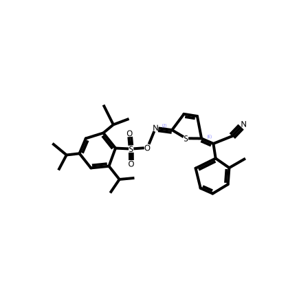 Cc1ccccc1/C(C#N)=C1C=C/C(=N/OS(=O)(=O)c2c(C(C)C)cc(C(C)C)cc2C(C)C)S/1